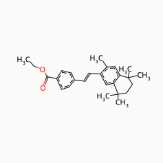 CCOC(=O)c1ccc(/C=C/c2cc3c(cc2C)C(C)(C)CCC3(C)C)cc1